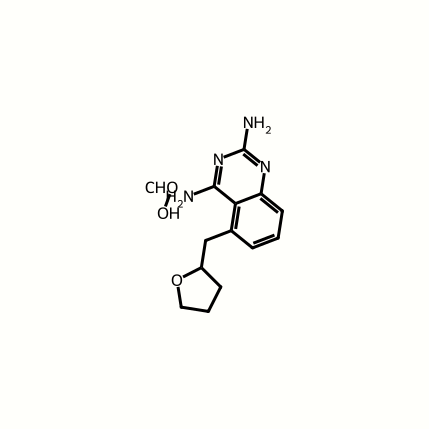 Nc1nc(N)c2c(CC3CCCO3)cccc2n1.O=CO